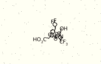 O=C(O)CCC1CN(S(=O)(=O)c2cc(C(F)(F)F)cnc2OCCO)c2cc(C=C3CCC(F)(F)CC3)ccc2O1